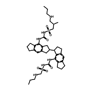 CCCNCC(C)CS(=O)(=O)NC(=O)Nc1c2c(cc3c1CC(C1CCc4cc5c(c(NC(=O)NS(=O)(=O)CNCCC)c41)CCC5)C3)CCC2